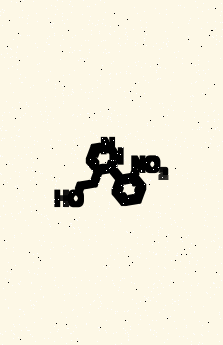 O=[N+]([O-])c1ccccc1-c1nnccc1CCO